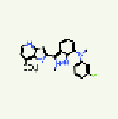 CN(c1cccc(F)c1)c1cccc2c(-c3cc4nccc(C(=O)O)c4[nH]3)n(C)nc12